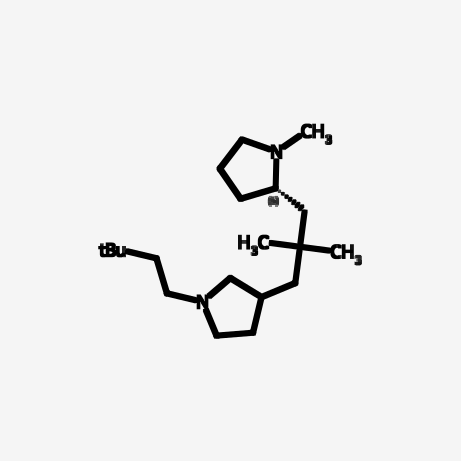 CN1CCC[C@H]1CC(C)(C)CC1CCN(CCC(C)(C)C)C1